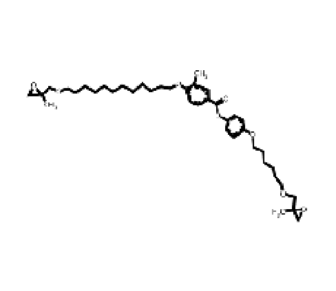 Cc1cc(C(=O)Oc2ccc(OCCCCCCOCC3(C)CO3)cc2)ccc1OCCCCCCCCCCCCOCC1(C)CO1